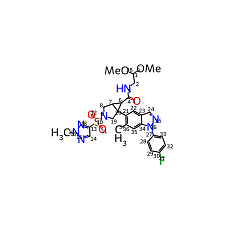 COC(CNC(=O)C1C2CN(S(=O)(=O)c3cnn(C)n3)CC21c1cc2cnn(-c3ccc(F)cc3)c2cc1C)OC